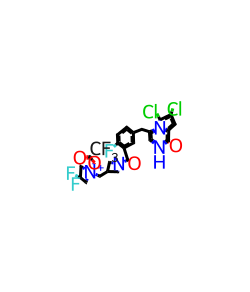 O=C(c1cc(Cc2c[nH]c(=O)c3cc(Cl)c(Cl)n23)ccc1F)N1CC(C[N+]2(OC(=O)C(F)(F)F)CC(F)(F)C2)C1